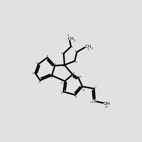 CCCC1(CCC)c2ccccc2-c2ccc(C=NO)cc21